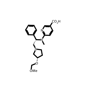 COCO[C@H]1CCN(C[C@H](c2ccccc2)N(C)c2ccc(C(=O)O)cn2)C1